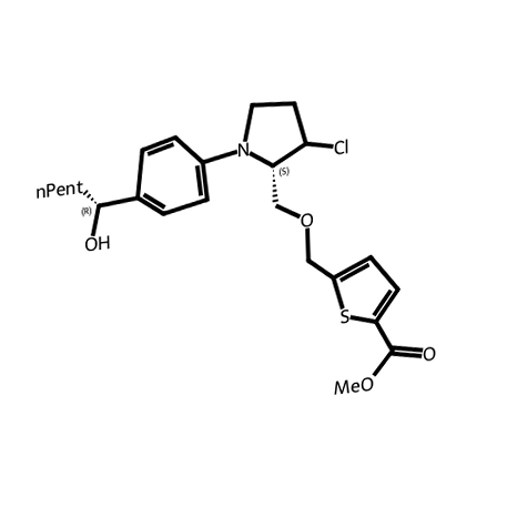 CCCCC[C@@H](O)c1ccc(N2CCC(Cl)[C@@H]2COCc2ccc(C(=O)OC)s2)cc1